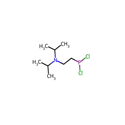 CC(C)N(CCP(Cl)Cl)C(C)C